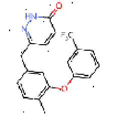 Cc1ccc(Cc2ccc(=O)[nH]n2)cc1Oc1cccc(C(F)(F)F)c1